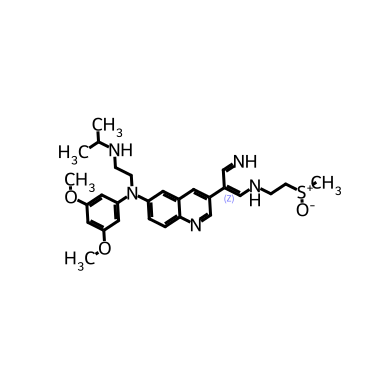 COc1cc(OC)cc(N(CCNC(C)C)c2ccc3ncc(/C(C=N)=C/NCC[S+](C)[O-])cc3c2)c1